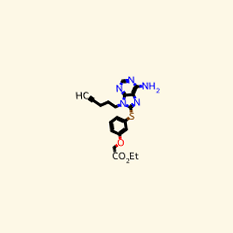 C#CCCCn1c(Sc2cccc(OCC(=O)OCC)c2)nc2c(N)ncnc21